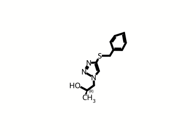 C[C@@H](O)Cn1cc(SCc2ccccc2)nn1